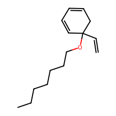 C=CC1(OCCCCCCC)C=CC=CC1